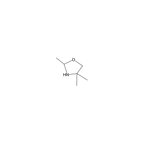 CC1NC(C)(C)CO1